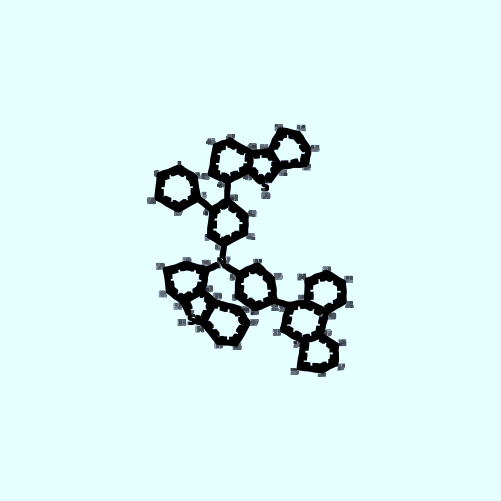 c1ccc(-c2cc(N(c3ccc(-c4cc5ccccc5c5ccccc45)cc3)c3cccc4sc5ccccc5c34)ccc2-c2cccc3c2sc2ccccc23)cc1